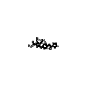 CCn1c(C)c(C(C)=O)sc1=Nc1ccc(CC(=O)N2CCCC2)cc1